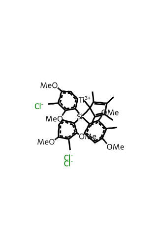 COc1ccc([Si](c2ccc(OC)c(C)c2OC)(c2ccc(OC)c(C)c2OC)[C]2([Ti+3])C(C)=C(C)C(C)=C2C)c(OC)c1C.[Cl-].[Cl-].[Cl-]